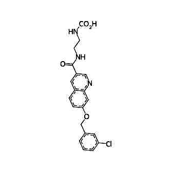 O=C(O)NCCNC(=O)c1cnc2cc(OCc3cccc(Cl)c3)ccc2c1